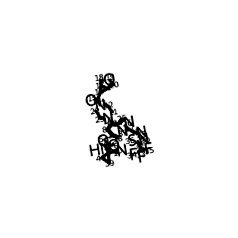 N#CC1(NS(=O)(=O)c2cc(N3CCN(C(=O)C4C5COCC54)CC3)c3cnc(-c4nnc(C(F)(F)F)s4)n3c2)CC1